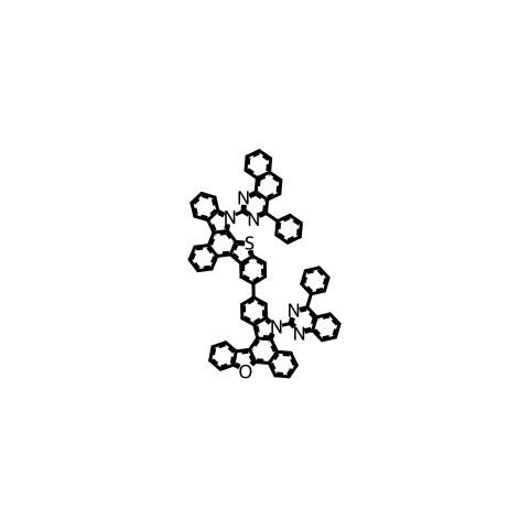 c1ccc(-c2nc(-n3c4cc(-c5ccc6sc7c(c6c5)c5ccccc5c5c6ccccc6n(-c6nc(-c8ccccc8)c8ccc9ccccc9c8n6)c75)ccc4c4c5c6ccccc6oc5c5ccccc5c43)nc3ccccc23)cc1